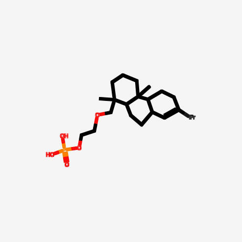 CC(C)C1=CC2CCC3C(C)(COCCOP(=O)(O)O)CCCC3(C)C2CC1